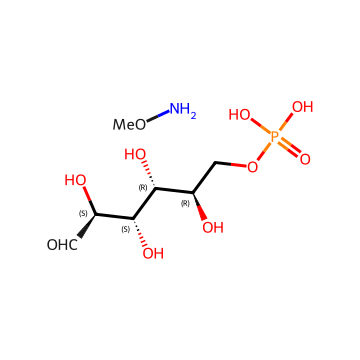 CON.O=C[C@@H](O)[C@@H](O)[C@H](O)[C@H](O)COP(=O)(O)O